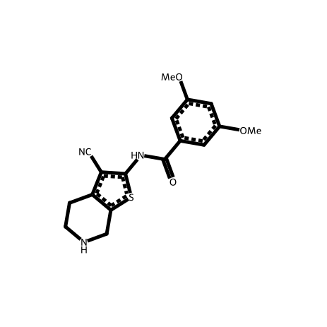 COc1cc(OC)cc(C(=O)Nc2sc3c(c2C#N)CCNC3)c1